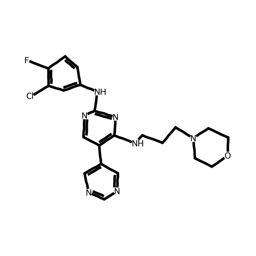 Fc1ccc(Nc2ncc(-c3cncnc3)c(NCCCN3CCOCC3)n2)cc1Cl